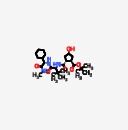 CNC(=O)[C@@H](NC(=O)[C@@H](NC(=O)[C@@H]1C[C@@H](O)C[C@H]1C(=O)OC(C)(C)C)C(C)(C)C)C1CCCCC1